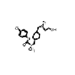 CCN(CCO)CC1CCC(CN(C)C(=O)Oc2ccc(Cl)cc2)CC1